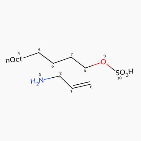 C=CCN.CCCCCCCCCCCCOS(=O)(=O)O